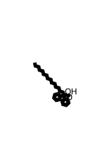 CCCCCCCCCCCCCCCC(C(=O)O)(c1ccccc1)c1ccccc1